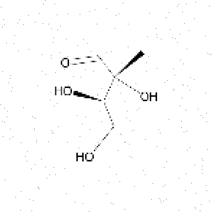 C[C@](O)(C=O)[C@H](O)CO